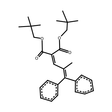 CC(C=C(C(=O)OCC(C)(C)C)C(=O)OCC(C)(C)C)=C(c1ccccc1)c1ccccc1